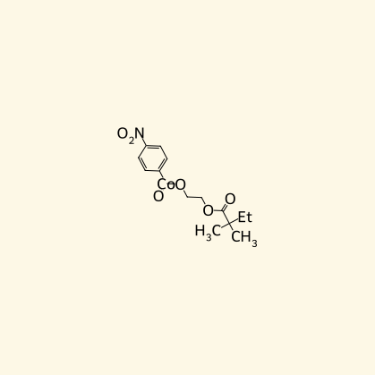 CCC(C)(C)C(=O)OCC[O][Co](=[O])[c]1ccc([N+](=O)[O-])cc1